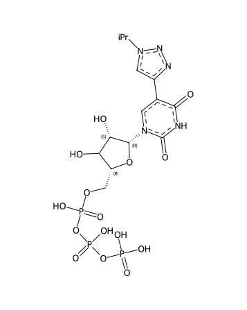 CC(C)n1cc(-c2cn([C@@H]3O[C@H](COP(=O)(O)OP(=O)(O)OP(=O)(O)O)C(O)[C@@H]3O)c(=O)[nH]c2=O)nn1